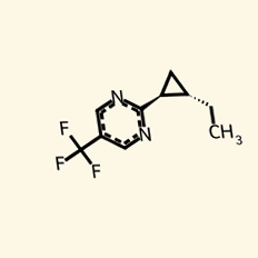 CC[C@H]1C[C@@H]1c1ncc(C(F)(F)F)cn1